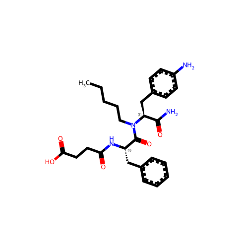 CCCCCN(C(=O)[C@H](Cc1ccccc1)NC(=O)CCC(=O)O)[C@@H](Cc1ccc(N)cc1)C(N)=O